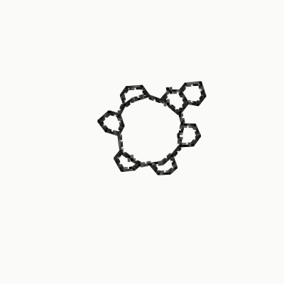 c1cc2cc(c1)c1cccc(n1)c1cccc(c1)c1cccc(c1)c1nc(nc3ccccc31)c1cccc2c1